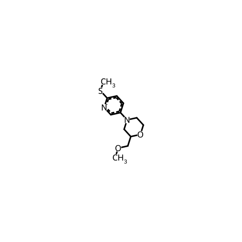 COCC1CN(c2ccc(SC)nc2)CCO1